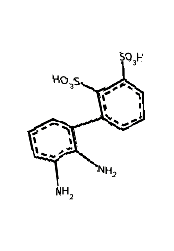 Nc1cccc(-c2cccc(S(=O)(=O)O)c2S(=O)(=O)O)c1N